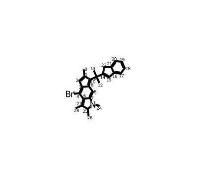 CC1=Cc2c(Br)c3c(cc2=C1C(C)(C)C1=Cc2ccccc2C1)N(C)C(C)C=3C